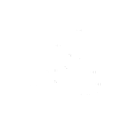 CC(=Nc1ccc(C)cc1C)c1cccc(C(C)=Nc2ccc(C)cc2C)n1.CC(C)c1ccc(O)c(O)c1C(=O)[O-].[Co+]